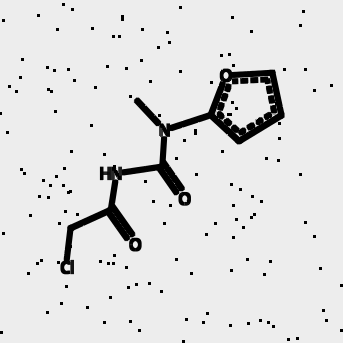 CN(C(=O)NC(=O)CCl)c1ccco1